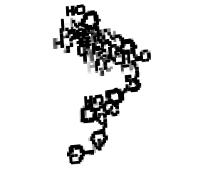 CC(C)(C)OC(=O)N(Cc1ccc(C(=O)NCc2ccc(-c3ccc(C(O)(C(=O)OCC4CCN(Cc5ccccc5)CC4)c4ccccc4)cc3)s2)cc1)C[C@H](O[Si](C)(C)C(C)(C)C)c1ccc(O)c2[nH]c(=O)ccc12